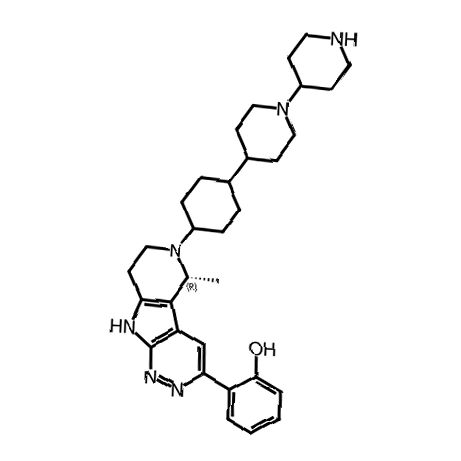 C[C@@H]1c2c([nH]c3nnc(-c4ccccc4O)cc23)CCN1C1CCC(C2CCN(C3CCNCC3)CC2)CC1